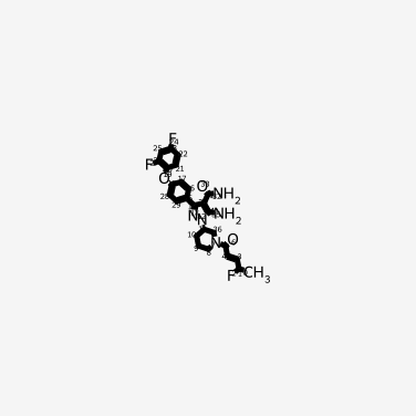 CC(F)/C=C/C(=O)N1CCC[C@@H](n2nc(-c3ccc(Oc4ccc(F)cc4F)cc3)c(C(N)=O)c2N)C1